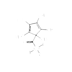 CC1=C(C)C(C)([C](=O)[Co-]([Cl])([I])[I])C(C)=C1C